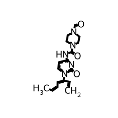 C=C/C(=C\C=C/C)n1ccc(NC(=O)N2CCN(C=O)CC2)nc1=O